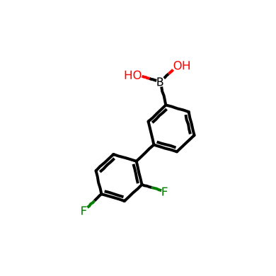 OB(O)c1cccc(-c2ccc(F)cc2F)c1